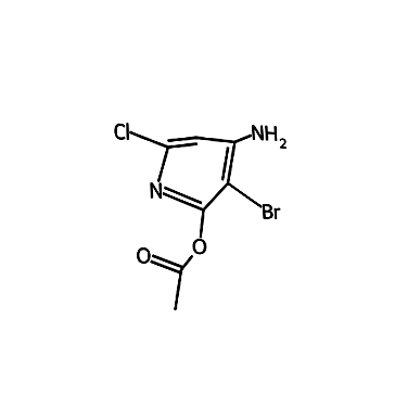 CC(=O)Oc1nc(Cl)cc(N)c1Br